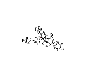 Cc1ccc(C2=CC(=O)N(c3ccc(OC(F)(F)F)cc3)C(C)(c3ccc(OCCCC(F)(F)F)cc3)C2)cc1